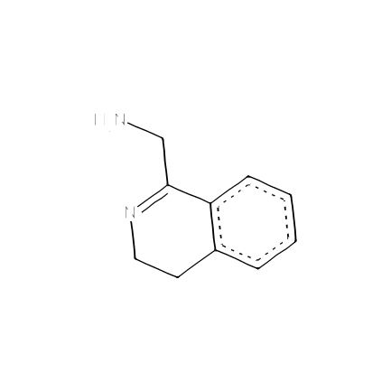 NCC1=NCCc2ccccc21